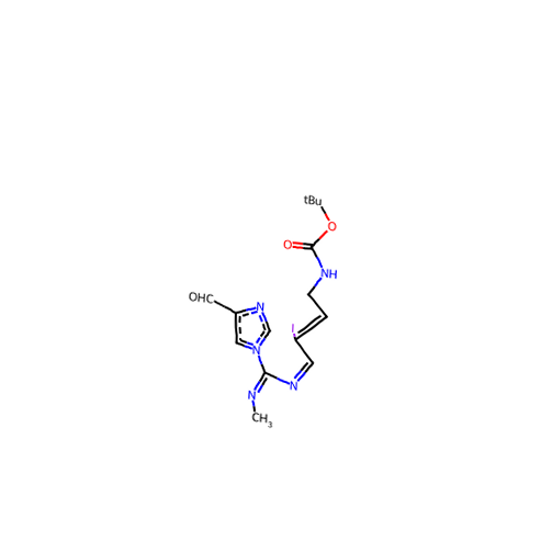 C\N=C(/N=C\C(I)=C\CNC(=O)OC(C)(C)C)n1cnc(C=O)c1